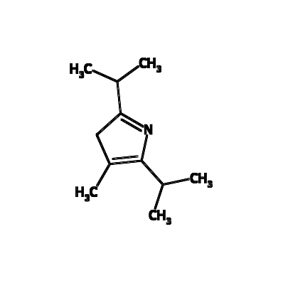 CC1=C(C(C)C)N=C(C(C)C)C1